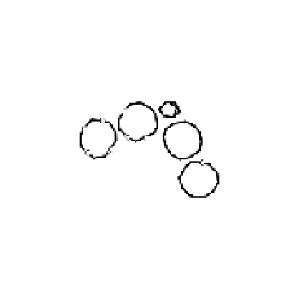 C1CC2CCC1C2.C1CCCCCCCCCCC1.C1CCCCCCCCCCC1.C1CCCCCCCCCCC1.C1CCCCCCCCCCC1